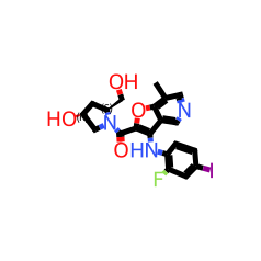 Cc1cncc2c(Nc3ccc(I)cc3F)c(C(=O)N3C[C@H](O)C[C@H]3CO)oc12